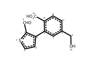 O=Cc1sccc1-c1cc(CO)ccc1C(=O)O